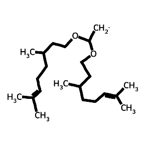 [CH2]C(OCCC(C)CCC=C(C)C)OCCC(C)CCC=C(C)C